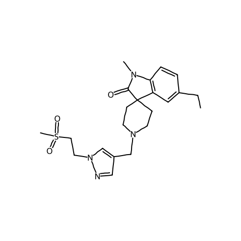 CCc1ccc2c(c1)C1(CCN(Cc3cnn(CCS(C)(=O)=O)c3)CC1)C(=O)N2C